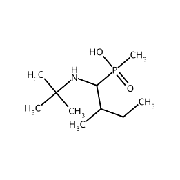 CCC(C)C(NC(C)(C)C)P(C)(=O)O